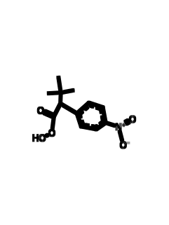 CC(C)(C)C(C(=O)OO)c1ccc([N+](=O)[O-])cc1